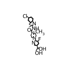 CC1CN(c2ncc([C@@H](O)CO)cc2F)CCN1C(=O)Nc1nc2ccc(Cl)cc2s1